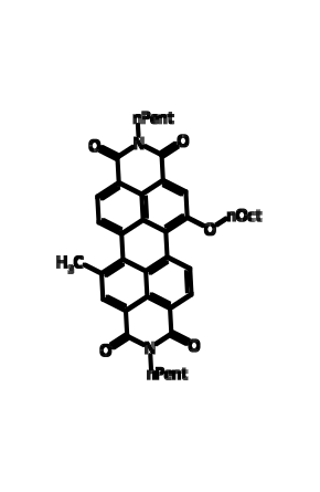 CCCCCCCCOc1cc2c3c(ccc4c5c(C)cc6c7c(ccc(c1c34)c75)C(=O)N(CCCCC)C6=O)C(=O)N(CCCCC)C2=O